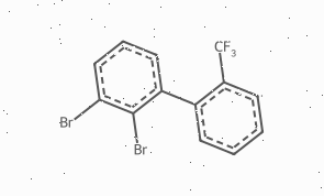 FC(F)(F)c1[c]cccc1-c1cccc(Br)c1Br